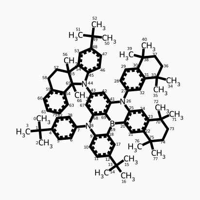 CC(C)(C)c1ccc(N2c3ccc(C(C)(C)C)cc3B3c4cc5c(cc4N(c4ccc6c(c4)C(C)(C)CCC6(C)C)c4cc(N6c7ccc(C(C)(C)C)cc7C7(C)CCc8ccccc8C67C)cc2c43)C(C)(C)CCC5(C)C)cc1